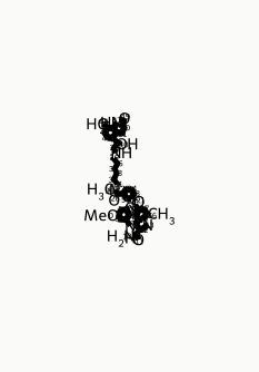 COc1cccc(Nc2c(C(N)=O)cnc3c(C)cc(S(=O)(=O)c4cccc(C(=O)N(C)CCCCCCNC[C@H](O)c5ccc(O)c6[nH]c(=O)ccc56)c4)cc23)c1